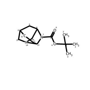 CC(C)(C)OC(=O)N1C2CC3CCC1N(C3)C2